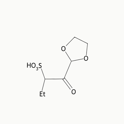 CCC(C(=O)C1OCCO1)S(=O)(=O)O